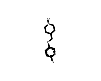 CC(=O)N1CCC(COc2ccc(Br)nc2)CC1